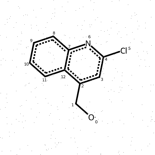 [O]Cc1cc(Cl)nc2ccccc12